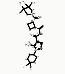 C=C(NC(=O)c1cnn(C2CCC(F)(F)CC2)c1N)[C@H]1CC[C@@H]1C(=O)N1CC(F)(F)C(F)(F)C1